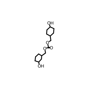 O=C(OCC1CCC(O)CC1)OCC1CCCC(O)C1